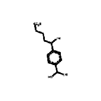 CCCC(CCCC(=O)O)c1ccc(C(O)O)cc1